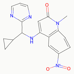 Cn1c(=O)cc(NC(c2ncccn2)C2CC2)c2cc([N+](=O)[O-])ccc21